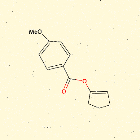 COc1ccc(C(=O)OC2=CCCC2)cc1